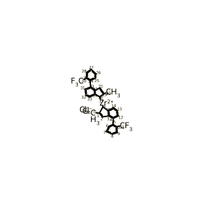 CC1=Cc2c(-c3ccccc3C(F)(F)F)cccc2[CH]1[Zr+2][CH]1C(C)=Cc2c(-c3ccccc3C(F)(F)F)cccc21.[Cl-].[Cl-]